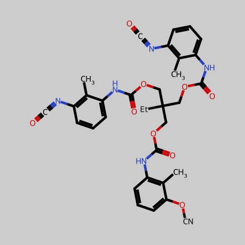 CCC(COC(=O)Nc1cccc(N=C=O)c1C)(COC(=O)Nc1cccc(N=C=O)c1C)COC(=O)Nc1cccc(OC#N)c1C